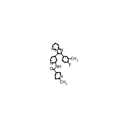 Cc1ccc(C(=O)Nc2cc(-c3c(-c4ccc(F)c(C)c4)nc4cccnn34)ccn2)cn1